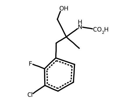 CC(CO)(Cc1cccc(Cl)c1F)NC(=O)O